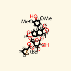 COc1cc([C@@H]2c3cc4c(cc3[C@@H](O[C@@H]3O[C@@H]5COC(c6cccs6)O[C@H]5[C@H](OC(C)(C)C)[C@H]3O)[C@H]3COC(=O)[C@H]23)OCO4)cc(OC)c1O